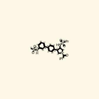 CC(C)C(=O)N1CC(NS(=O)(=O)C(C)C)C(c2ccc(-c3cccc(NS(C)(=O)=O)c3)cc2)C1